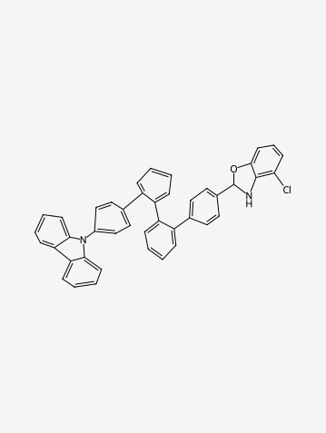 Clc1cccc2c1NC(c1ccc(-c3ccccc3-c3ccccc3-c3ccc(-n4c5ccccc5c5ccccc54)cc3)cc1)O2